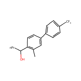 CCCC(O)c1ccc(-c2ccc(C(F)(F)F)cc2)cc1C